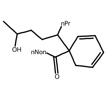 CCCCCCCCCC(=O)C1(C(CCC)CCC(C)O)C=CC=CC1